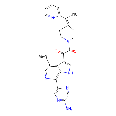 [C-]#[N+]C(=C1CCN(C(=O)C(=O)c2c[nH]c3c(-c4cnc(N)cn4)ncc(OC)c23)CC1)c1ccccn1